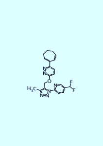 Cc1nnn(-c2ccc(C(F)F)cn2)c1COc1ccc(C2=CCCCC=C2)nn1